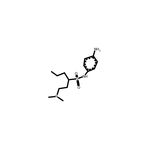 CCCC(CCN(C)C)S(=O)(=O)Nc1ccc(N)cc1